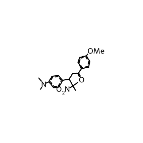 COc1ccc(C(=O)CC(c2ccc(N(C)C)cc2)C(C)(C)[N+](=O)[O-])cc1